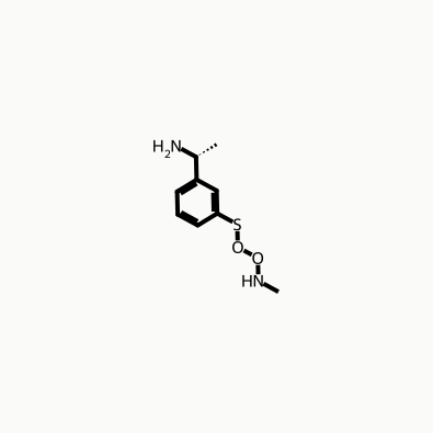 CNOOSc1cccc([C@@H](C)N)c1